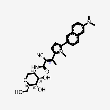 C/C(=C(/C#N)C(=O)N[C@H]1CO[C@H](CO)[C@@H](O)[C@@H]1O)c1ccc(-c2ccc3cc(N(C)C)ccc3c2)n1C